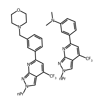 CCCn1cc2c(C(F)(F)F)cc(-c3cccc(CN4CCOCC4)c3)nc2n1.CCCn1cc2c(C(F)(F)F)cc(-c3cccc(N(C)C)c3)nc2n1